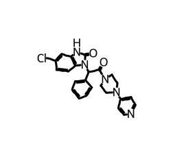 O=C(C(c1ccccc1)n1c(=O)[nH]c2cc(Cl)ccc21)N1CCN(c2ccncc2)CC1